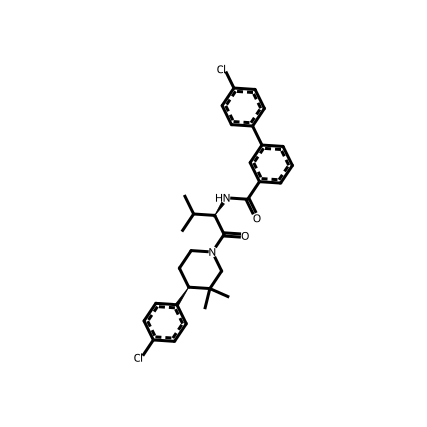 CC(C)[C@@H](NC(=O)c1cccc(-c2ccc(Cl)cc2)c1)C(=O)N1CC[C@H](c2ccc(Cl)cc2)C(C)(C)C1